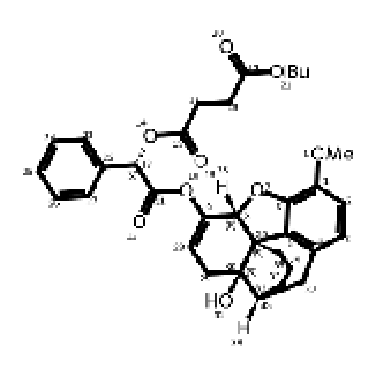 COc1ccc2c3c1O[C@H]1C(OC(=O)[C@@H](OC(=O)CCC(=O)OCC(C)C)c4ccccc4)=CC[C@@]4(O)[C@H](CCC[C@]314)C2